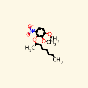 CCCCCCC(C)Oc1c([N+](=O)[O-])ccc(OC)c1OC